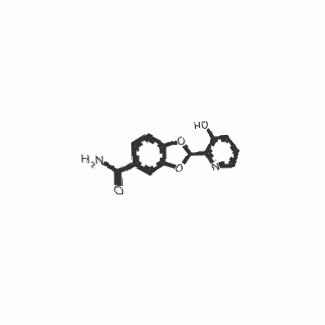 NC(=O)c1ccc2c(c1)OC(c1ncccc1O)O2